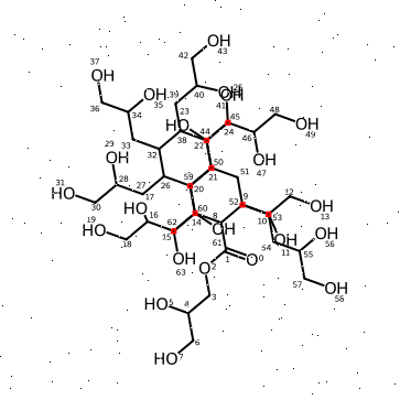 O=C(OCC(O)CO)C(CC(O)CO)C(CC(O)CO)C(CC(O)CO)C(CC(O)CO)C(CC(O)CO)C(CC(O)CO)C(CC(O)CO)C(CCCCC(O)CO)CC(O)CO